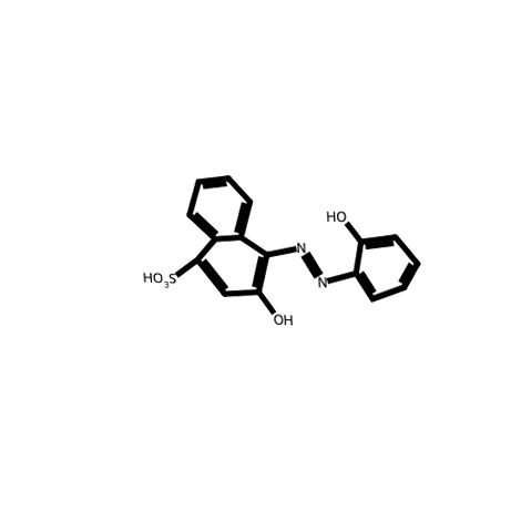 O=S(=O)(O)c1cc(O)c(N=Nc2ccccc2O)c2ccccc12